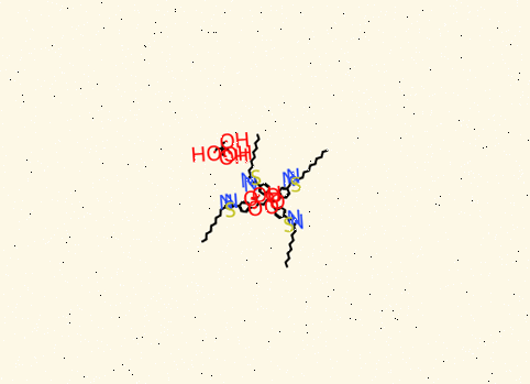 CCCCCCCCCc1nnc(-c2ccc(OC(CCC(Oc3ccc(-c4nnc(CCCCCCCCC)s4)cc3)(Oc3ccc(-c4nnc(CCCCCCCCC)s4)cc3)Oc3ccc(-c4nnc(CCCCCCCCC)s4)cc3)C(=O)O)cc2)s1.OCC(CO)(CO)CO